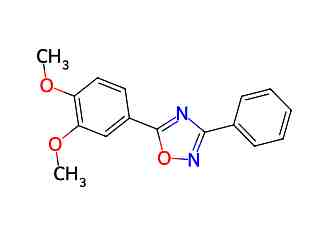 COc1ccc(-c2nc(-c3ccccc3)no2)cc1OC